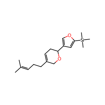 CC(C)=CCCC1=CCC(c2coc([Si](C)(C)C)c2)OC1